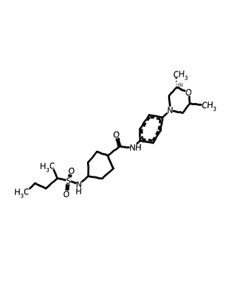 CCCC(C)S(=O)(=O)NC1CCC(C(=O)Nc2ccc(N3CC(C)O[C@@H](C)C3)cc2)CC1